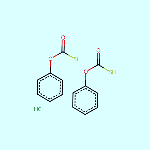 Cl.O=C(S)Oc1ccccc1.O=C(S)Oc1ccccc1